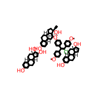 C#C[C@]1(O)CC[C@H]2[C@@H]3CCc4cc(O)ccc4[C@H]3CC[C@@]21C.COc1ccc(C(Cl)=C(c2ccc(OC)cc2)c2ccc(OC)cc2)cc1.C[C@]12CC[C@@H]3c4ccc(O)cc4CC[C@H]3[C@@H]1CC[C@@H]2O.C[C@]12CC[C@@H]3c4ccc(O)cc4CC[C@H]3[C@@H]1C[C@@H](O)[C@@H]2O